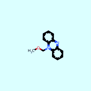 COC[n+]1c2ccccc2nc2ccccc21